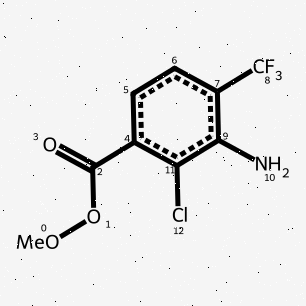 COOC(=O)c1ccc(C(F)(F)F)c(N)c1Cl